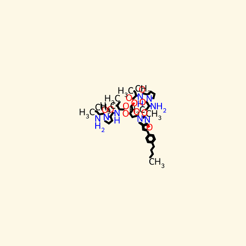 CCCCCc1ccc(-c2cc3cn(C4CC(OC(=O)C(NC(=O)C5CCCN5C(=O)C(N)C(C)C)C(C)CC)C(COC(=O)C(NC(=O)C5CCCN5C(=O)C(N)C(C)C)C(C)C)O4)c(=O)nc3o2)cc1